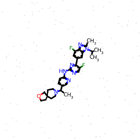 Cc1nc2c(F)cc(-c3nc(Nc4ccc(C(C)N5CCC6(CCOC6)CC5)cn4)ncc3F)cc2n1C(C)C